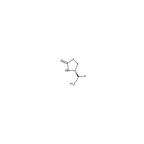 CC(F)[C@@H]1COC(=O)N1